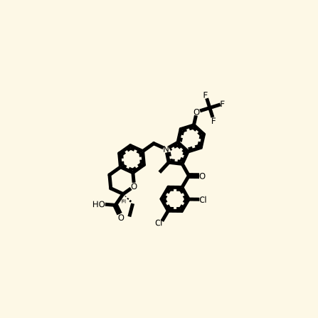 CC[C@]1(C(=O)O)CCc2ccc(Cn3c(C)c(C(=O)c4ccc(Cl)cc4Cl)c4ccc(OC(F)(F)F)cc43)cc2O1